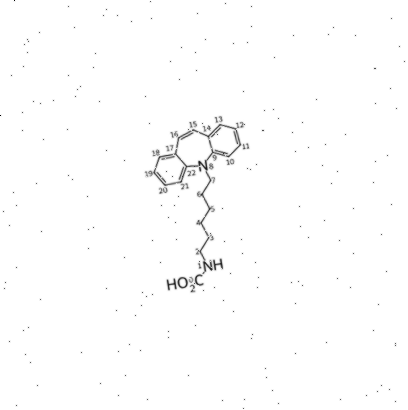 O=C(O)NCCCCCCN1c2ccccc2C=Cc2ccccc21